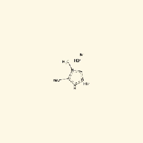 Br.Br.CCCCc1[nH]cc[n+]1C.[Br-]